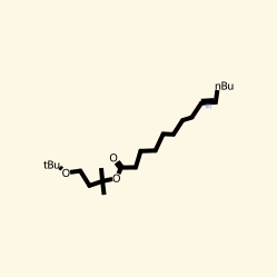 CCCC/C=C/CCCCCCCC(=O)OC(C)(C)CCOC(C)(C)C